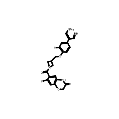 CN/C=C(\C=N)c1ccc(OCC2CN(C(=O)c3cc4c(cc3F)OCC(=O)N4)C2)c(F)c1